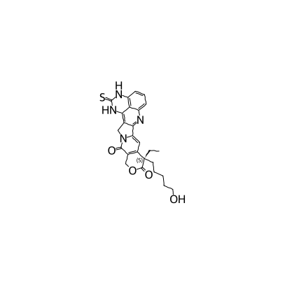 CC[C@@]1(CCCCCO)C(=O)OCc2c1cc1n(c2=O)Cc2c-1nc1cccc3c1c2NC(=S)N3